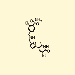 CCc1cc(-c2ccc(CNCc3ccc(S(N)(=O)=O)c(Cl)c3)o2)c(C)[nH]c1=O